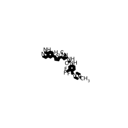 CN1CCN(Cc2ccc(NC(=O)Nc3cc(-c4ccc(-c5ccc6c(N)nccc6c5)s4)n(C)n3)cc2C(F)(F)F)CC1